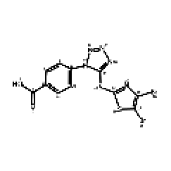 O=C(O)c1ccc(-n2nnnc2Sc2nc(Br)c(Br)s2)cc1